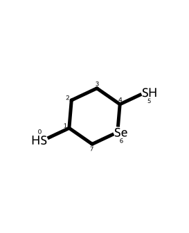 SC1CCC(S)[Se]C1